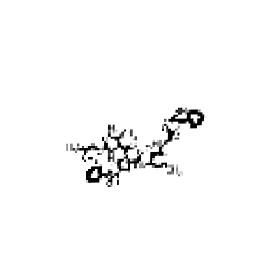 CCCC(NC(=O)C1C[C@@H](NS(=O)(=O)c2ccccc2)CN1C(=O)[C@@H](NC(=O)OCC(C)C)C(C)C)C(=O)C(=O)NCC(=O)N[C@H](C(N)=O)c1ccccc1